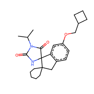 CC(C)N1C(=O)NC2(C1=O)c1cc(OCC3CCC3)ccc1CC21CCCCC1